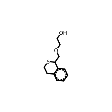 OCCOCC1SCCc2ccccc21